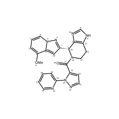 COc1cccn2nc([C@@H]3c4nc[nH]c4CCN3C(=O)c3ccnn3-c3ccccn3)cc12